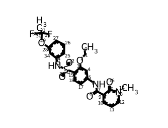 CCOc1cc(NC(=O)c2cccn(C)c2=O)ccc1S(=O)(=O)Nc1cccc(OC(C)(F)F)c1